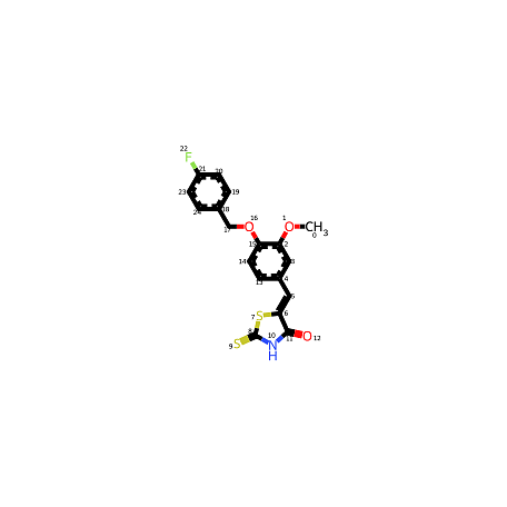 COc1cc(/C=C2\SC(=S)NC2=O)ccc1OCc1ccc(F)cc1